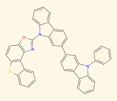 c1ccc(-n2c3ccccc3c3ccc(-c4ccc5c6ccccc6n(-c6nc7c(ccc8sc9ccccc9c87)o6)c5c4)cc32)cc1